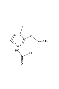 CC(=O)O.CCOc1ccccc1I